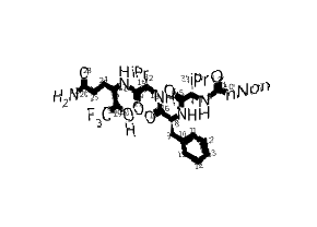 CCCCCCCCCC(=O)N[C@H](C(=O)N[C@@H](Cc1ccccc1)C(=O)N[C@H](C(=O)NC(CCC(N)=O)C(O)C(F)(F)F)C(C)C)C(C)C